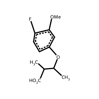 COc1cc(OC(C)C(C)C(=O)O)ccc1F